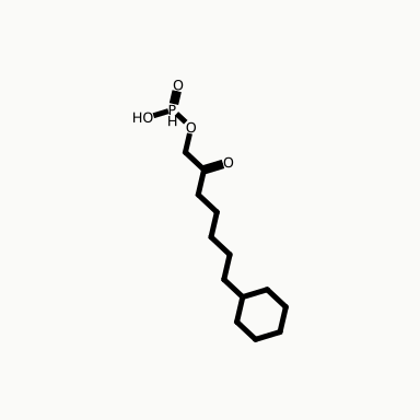 O=C(CCCCCC1CCCCC1)CO[PH](=O)O